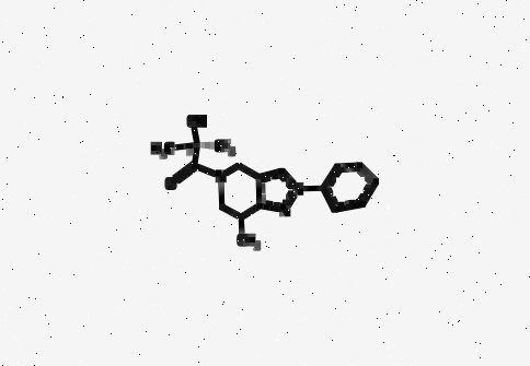 CC1CN(C(=O)[C@@](C)(O)C(F)(F)F)Cc2cn(-c3ccccc3)nc21